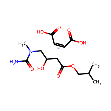 CC(C)COC(=O)CC(O)CN(C)C(N)=O.O=C(O)/C=C\C(=O)O